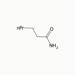 CCC[CH]CC(N)=O